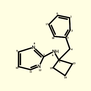 c1ccc(CC2(Nc3ncccn3)CCC2)cc1